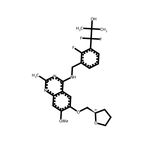 COc1cc2nc(C)nc(NCc3cccc(C(F)(F)C(C)(C)O)c3F)c2cc1OC[C@H]1CCCO1